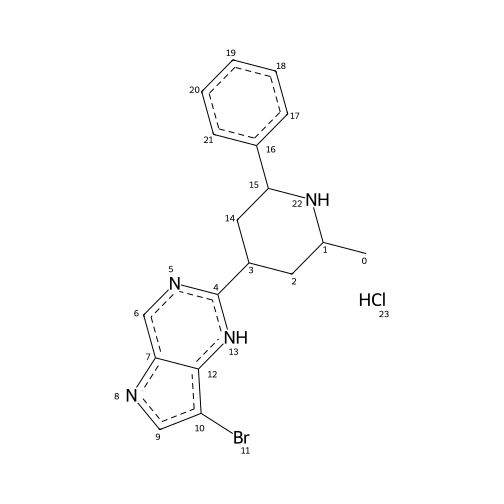 CC1CC(c2ncc3ncc(Br)c-3[nH]2)CC(c2ccccc2)N1.Cl